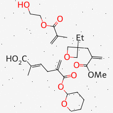 C=C(C)C(=O)OCCO.C=C(CC1(CC)COC1)C(=O)OC.C=C(CC=C(C)C(=O)O)C(=O)OC1CCCCO1